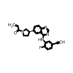 C#Cc1ccc(F)c(Nc2ncnc3ccc([C@H]4CCN(C(=O)C=C)C4)cc23)c1